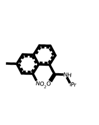 Cc1cc([N+](=O)[O-])c2c(C(=O)NC(C)C)cccc2c1